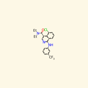 CCN(CC)C(=O)c1cnc(Nc2cccc(C(F)(F)F)c2)c2cccc(Cl)c12